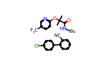 CCC(C)NC(=O)C(C)(C)Oc1ccc(C(F)(F)F)cn1.N#Cc1ccccc1-c1ccc(Cl)cc1